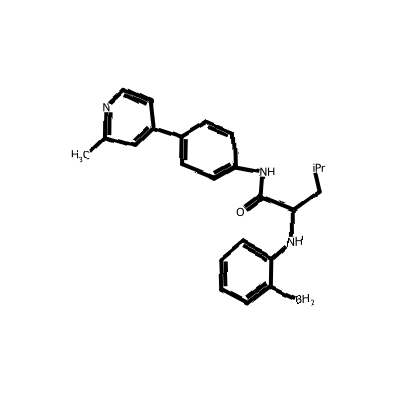 Bc1ccccc1NC(CC(C)C)C(=O)Nc1ccc(-c2ccnc(C)c2)cc1